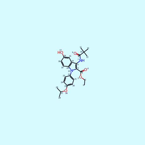 CCOC(=O)c1c(NC(=O)C(C)(C)C)c2cc(O)ccc2n1-c1ccc(OC(C)C)cc1